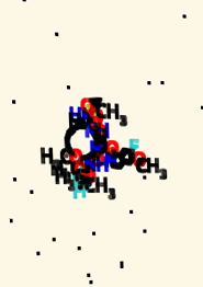 CC[C@@H]1O[C@H](C)CC/C=C\[C@@H]2C[C@@]2(C(=O)NS(=O)(=O)C2(C)CC2)NC(=O)[C@@H]2C[C@@H](Oc3nccc4cc(OC)c(F)cc34)CN2C(=O)[C@H]1NC(=O)OC(C)(C)C(F)(F)F